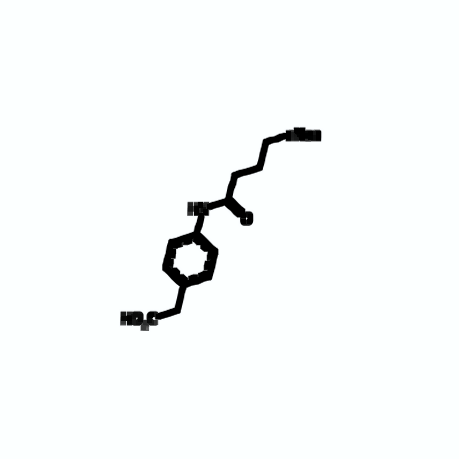 CCCCCCCCCCCCC(=O)Nc1ccc(CC(=O)O)cc1